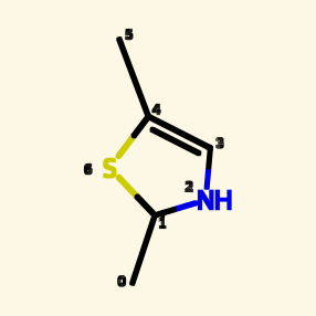 C[C]1NC=C(C)S1